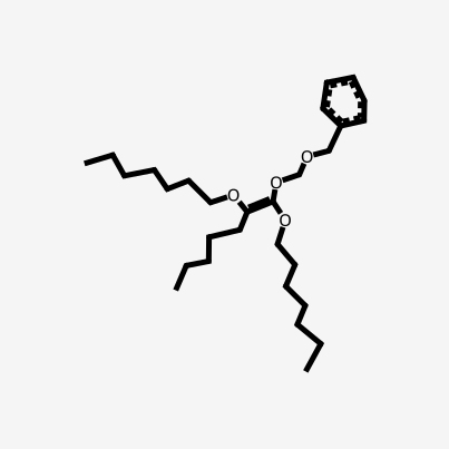 CCCCCCCOC(CCCCC)=C(OCCCCCCC)OCOCc1ccccc1